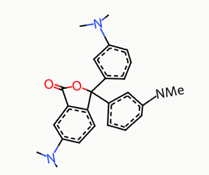 CNc1cccc(C2(c3cccc(N(C)C)c3)OC(=O)c3cc(N(C)C)ccc32)c1